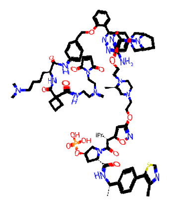 Cc1ncsc1-c1ccc([C@H](C)NC(=O)[C@@H]2C[C@@H](OP(=O)(O)O)CN2C(=O)[C@@H](c2cc(OCCN3CCN(CCOc4cc(N5C6CCC5CN(c5cc(-c7ccccc7OCc7ccc(NC(=O)[C@H](CCCCN(C)C)NC(=O)C8(C(=O)NCCN(C)CCN9C(=O)C=CC9=O)CCC8)cc7)nnc5N)C6)ccn4)[C@H](C)C3)no2)C(C)C)cc1